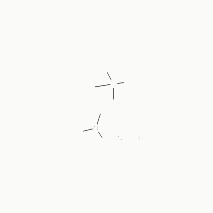 CN(C)C.Cl.[Na+].[O-][Si](O)(O)O